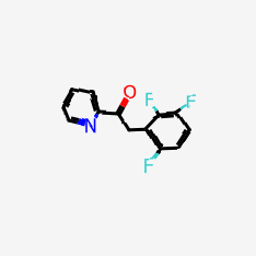 O=C(Cc1c(F)ccc(F)c1F)c1ccccn1